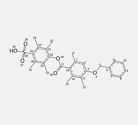 Cc1cc(OCc2ccccc2)c(C)c(C)c1C(=O)Oc1c(C)c(C)c(S(=O)(=O)O)c(C)c1C